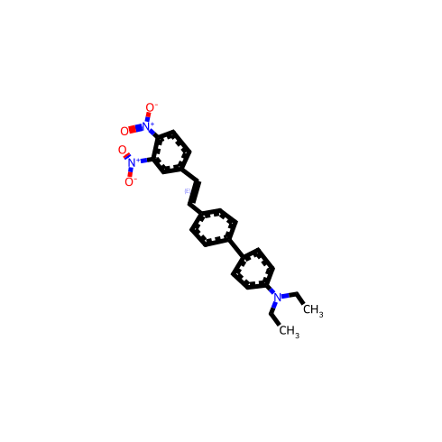 CCN(CC)c1ccc(-c2ccc(/C=C/c3ccc([N+](=O)[O-])c([N+](=O)[O-])c3)cc2)cc1